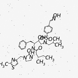 CC[C@H](C)[C@@H](C(=O)N[C@@H](Cc1ccccc1)[C@@H](O)CN(CC(C)C)S(=O)(=O)c1ccc(C=NO)cc1)N1CCN(Cc2csc(C)n2)C1=O